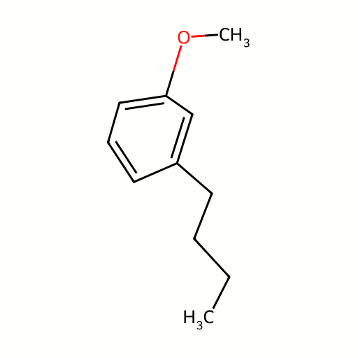 CCCCc1cccc(OC)c1